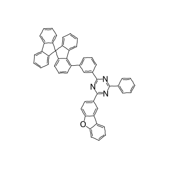 c1ccc(-c2nc(-c3cccc(-c4cccc5c4-c4ccccc4C54c5ccccc5-c5ccccc54)c3)nc(-c3ccc4oc5ccccc5c4c3)n2)cc1